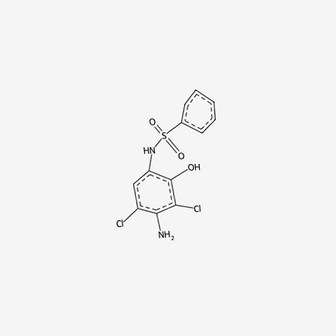 Nc1c(Cl)cc(NS(=O)(=O)c2ccccc2)c(O)c1Cl